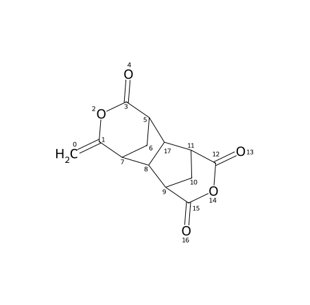 C=C1OC(=O)C2CC1C1C3CC(C(=O)OC3=O)C21